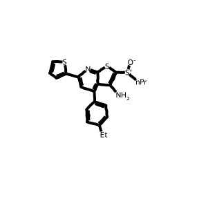 CCC[S+]([O-])c1sc2nc(-c3cccs3)cc(-c3ccc(CC)cc3)c2c1N